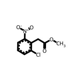 COC(=O)Cc1c(Cl)cccc1[N+](=O)[O-]